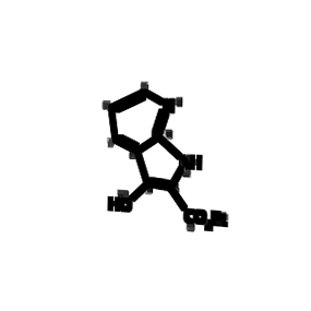 CCOC(=O)c1[nH]c2ncccc2c1O